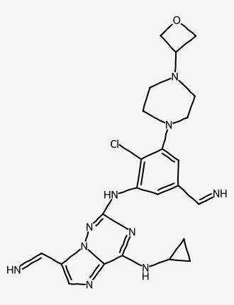 N=Cc1cc(Nc2nc(NC3CC3)c3ncc(C=N)n3n2)c(Cl)c(N2CCN(C3COC3)CC2)c1